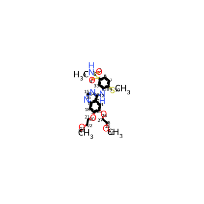 CNS(=O)(=O)c1ccc(SC)c(Nc2ncnc3cc(OCCOC)c(OCCOC)cc23)c1